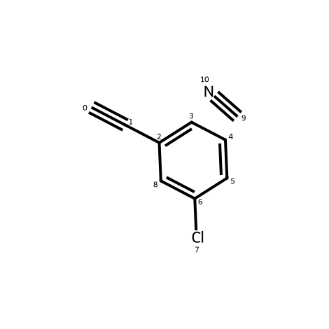 C#Cc1cccc(Cl)c1.C#N